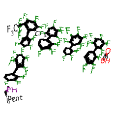 CCCC(C)CPC.Fc1c(F)c(F)c(-c2c(C(F)(F)F)c(F)c(F)c(F)c2C(F)(F)C(F)(F)F)c(F)c1F.Fc1ccc(-c2c(F)c(F)c(F)c(F)c2F)c(F)c1F.Fc1ccc(-c2c(F)c(F)c(F)c(F)c2F)c(F)c1F.Fc1ccc(-c2c(F)c(F)c(F)c(F)c2F)c(F)c1F.Fc1ccc(-c2c(F)c(F)c(F)c(F)c2F)c(F)c1F.[O]=[Al][OH]